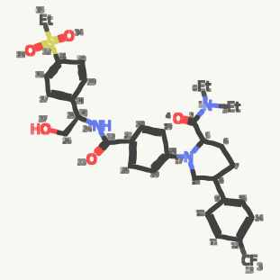 CCN(CC)C(=O)C1CCC(c2ccc(C(F)(F)F)cc2)CN1c1ccc(C(=O)N[C@@H](CO)c2ccc(S(=O)(=O)CC)cc2)cc1